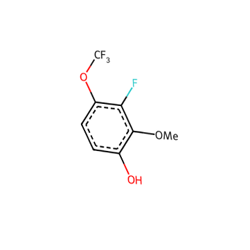 COc1c(O)ccc(OC(F)(F)F)c1F